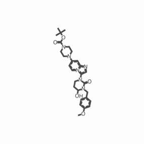 COc1ccc(CN2C(=O)N(c3cnc4cc(N5CCN(C(=O)OC(C)(C)C)CC5)ccn34)CCC2O)cc1